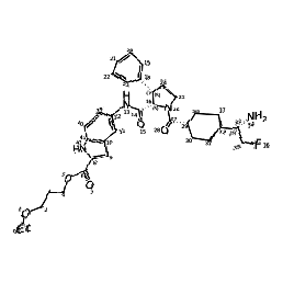 CCOCCCOC(=O)c1cc2cc(NC(=O)[C@@H]3[C@H](c4ccccc4)CCN3C(=O)[C@H]3CC[C@H]([C@H](N)CF)CC3)ccc2[nH]1